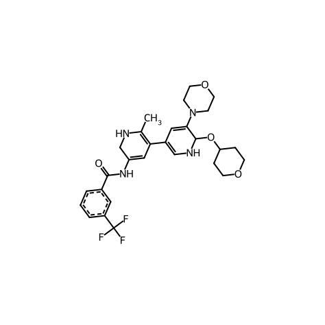 CC1=C(C2=CNC(OC3CCOCC3)C(N3CCOCC3)=C2)C=C(NC(=O)c2cccc(C(F)(F)F)c2)CN1